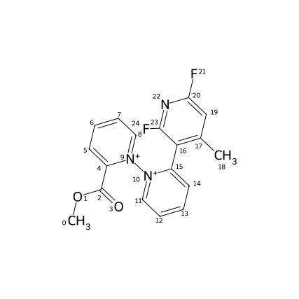 COC(=O)c1cccc[n+]1-[n+]1ccccc1-c1c(C)cc(F)nc1F